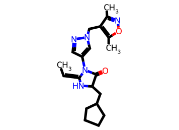 CC=C1NC(CC2CCCC2)C(=O)N1c1cnn(Cc2c(C)noc2C)c1